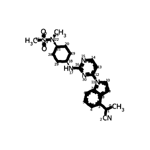 CC(C#N)c1cccc2c1ccn2-c1ccnc(N[C@H]2CC[C@H](N(C)S(C)(=O)=O)CC2)n1